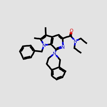 CCN(CC)C(=O)c1cc2c(C)c(C)n(Cc3ccccc3)c2c(N2CCc3ccccc3C2)n1